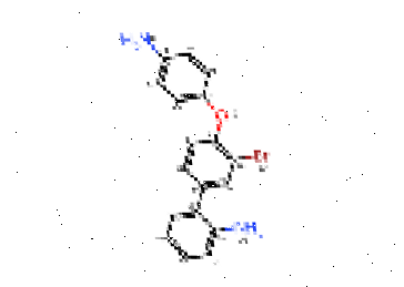 Nc1ccc(Oc2ccc(-c3ccccc3N)cc2Br)cc1